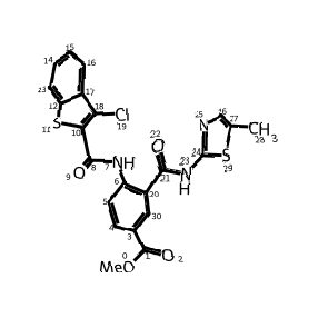 COC(=O)c1ccc(NC(=O)c2sc3ccccc3c2Cl)c(C(=O)Nc2ncc(C)s2)c1